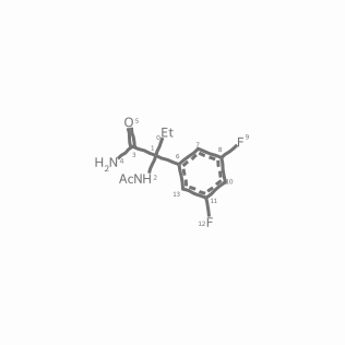 CCC(NC(C)=O)(C(N)=O)c1cc(F)cc(F)c1